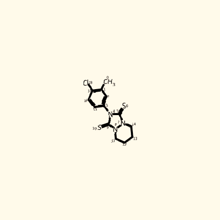 Cc1cc(-n2c(=S)n3n(c2=S)CCCC3)ccc1Cl